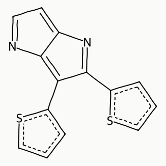 C1=NC2=C(c3cccs3)C(c3cccs3)=NC2=C1